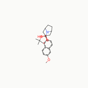 COc1ccc2cc(C3(O)CC4CCC(C3)N4C(=O)OC(C)(C)C)ccc2c1